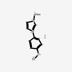 CCCCCCn1cc[n+](-c2ccc(OCC)cc2)c1.[I-]